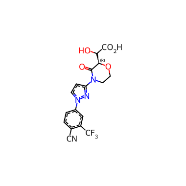 N#Cc1ccc(-n2ccc(N3CCO[C@H](C(O)C(=O)O)C3=O)n2)cc1C(F)(F)F